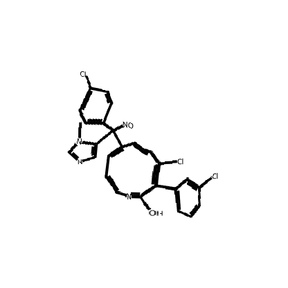 Cn1cncc1C(N=O)(c1ccc(Cl)cc1)c1cccnc(O)c(-c2cccc(Cl)c2)c(Cl)cc1